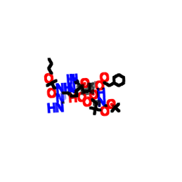 CCCCOC(C)(C)C(=O)N/C(=N/C=N)c1ccc([C@]2(C#N)O[C@H](COC(=O)CC3CCCCC3)[C@@H](OC(=O)[C@H](NC(=O)OC(C)(C)C)C(C)(C)C)[C@H]2O)[nH]1